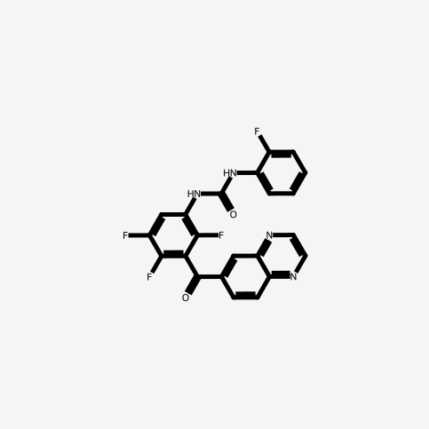 O=C(Nc1ccccc1F)Nc1cc(F)c(F)c(C(=O)c2ccc3nccnc3c2)c1F